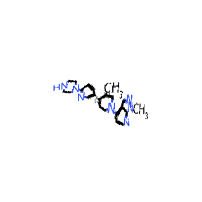 C[C@@H]1CN(c2ccnc3c2cnn3C)CC[C@@H]1c1ccc(N2CCNCC2)nc1